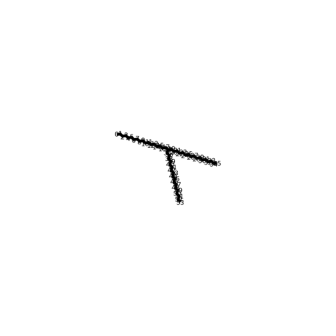 CCCCCCCCCCCCCCCCCCC(CCCCCCCCCCCCCCCCC)CCCCCCCCCCCCCCCCCC